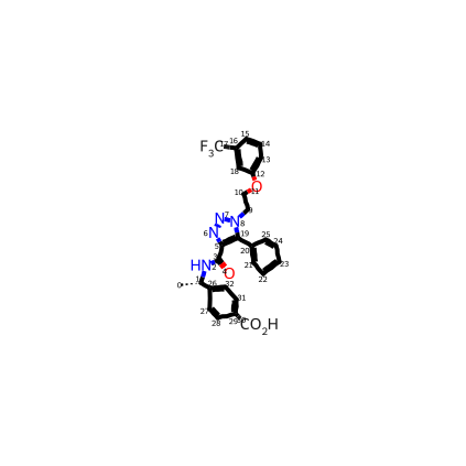 C[C@H](NC(=O)c1nnn(CCOc2cccc(C(F)(F)F)c2)c1-c1ccccc1)c1ccc(C(=O)O)cc1